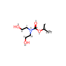 CC(C)C(C)OC(=O)N(CCO)CCO